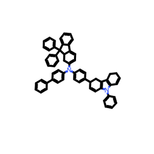 C1=Cc2c(c3c(n2-c2ccccc2)C=CC(c2ccc(N(C4=CC=C5c6ccccc6C(c6ccccc6)(c6ccccc6)C5C4)c4ccc(-c5ccccc5)cc4)cc2)C3)CC1